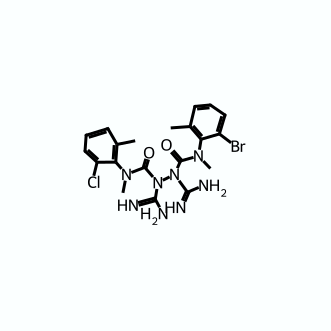 Cc1cccc(Cl)c1N(C)C(=O)N(C(=N)N)N(C(=N)N)C(=O)N(C)c1c(C)cccc1Br